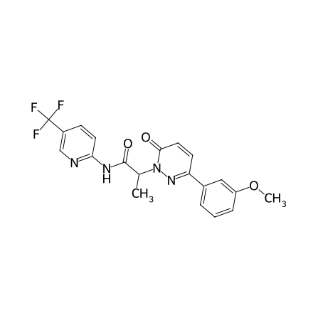 COc1cccc(-c2ccc(=O)n(C(C)C(=O)Nc3ccc(C(F)(F)F)cn3)n2)c1